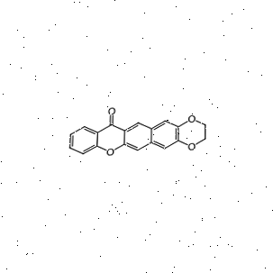 O=c1c2ccccc2oc2cc3cc4c(cc3cc12)OCCO4